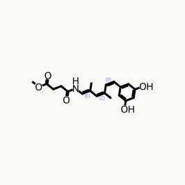 COC(=O)CCC(=O)N/C=C(C)/C=C(C)\C=C/c1cc(O)cc(O)c1